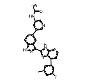 CCCC(=O)Nc1cncc(-c2ccc3[nH]nc(-c4nc5c(-c6cc(C)cc(F)c6)ccnc5[nH]4)c3c2)c1